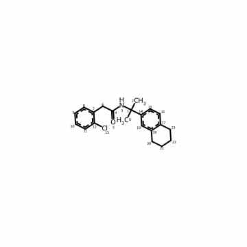 CC(C)(NC(=O)Cc1ccccc1Cl)c1ccc2c(c1)CCCC2